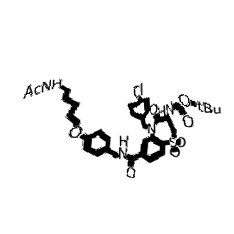 CC(=O)NCCCCCOc1ccc(CNC(=O)c2ccc3c(c2)N(Cc2ccc(Cl)cc2)C(=O)[C@@H](NC(=O)OC(C)(C)C)CS3(=O)=O)cc1